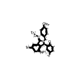 CCON=C1c2cc(Br)cc(N)c2C(c2cc(F)ccc2Cl)N1Cc1ccc(OC)cc1